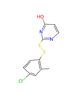 Cc1cc(Cl)ccc1SSc1nccc(O)n1